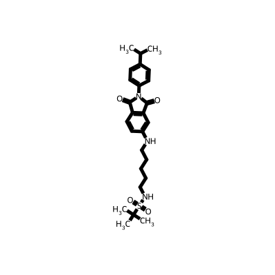 CC(C)c1ccc(N2C(=O)c3ccc(NCCCCCNS(=O)(=O)C(C)(C)C)cc3C2=O)cc1